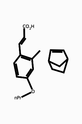 C1=CC2CCC1C2.CCCOc1ccc(C=CC(=O)O)c(C)c1